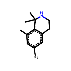 CCc1cc(C)c2c(c1)CCNC2(C)C